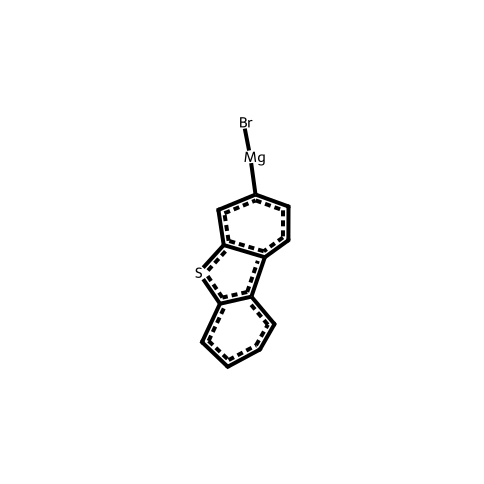 [Br][Mg][c]1ccc2c(c1)sc1ccccc12